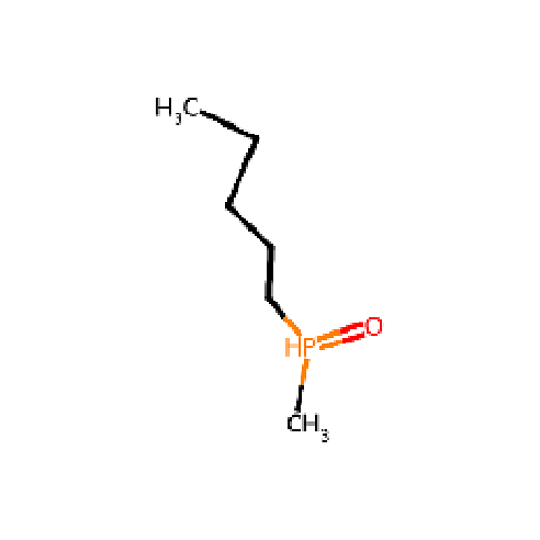 CCCCC[PH](C)=O